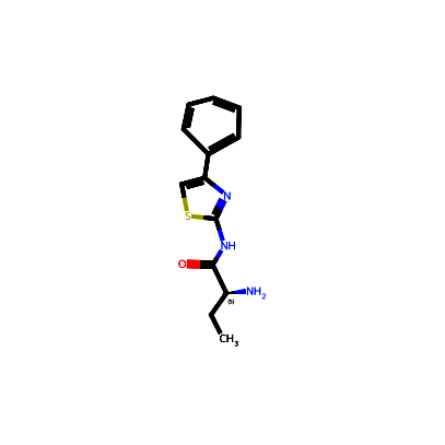 CC[C@H](N)C(=O)Nc1nc(-c2ccccc2)cs1